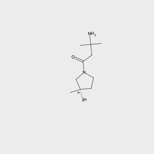 CC(C)[C@@]1(C)CCN(C(=O)CC(C)(C)N)C1